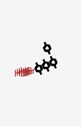 Br.Br.Br.Br.Cc1ccc(C)cc1.Cc1ccc(C)cc1.Cc1ccc(C)cc1.Cc1ccc(C)cc1